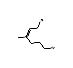 CC(=CCO)CCCBr